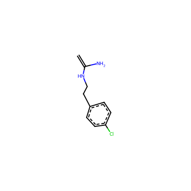 C=C(N)NCCc1ccc(Cl)cc1